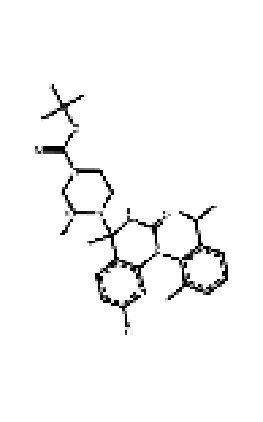 Cc1cccc(C(C)C)c1N1C(=O)NC(C)(N2CCN(C(=O)OC(C)(C)C)C[C@@H]2C)c2ccc(Cl)nc21